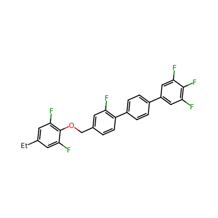 CCc1cc(F)c(OCc2ccc(-c3ccc(-c4cc(F)c(F)c(F)c4)cc3)c(F)c2)c(F)c1